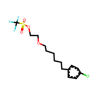 O=S(=O)(OCCOCCCCCCc1ccc(Cl)cc1)C(F)(F)F